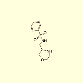 O=S(=O)(NCC1COCCN1)c1ccccc1